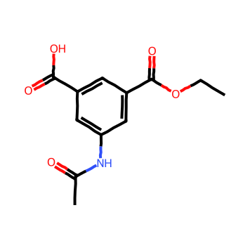 CCOC(=O)c1cc(NC(C)=O)cc(C(=O)O)c1